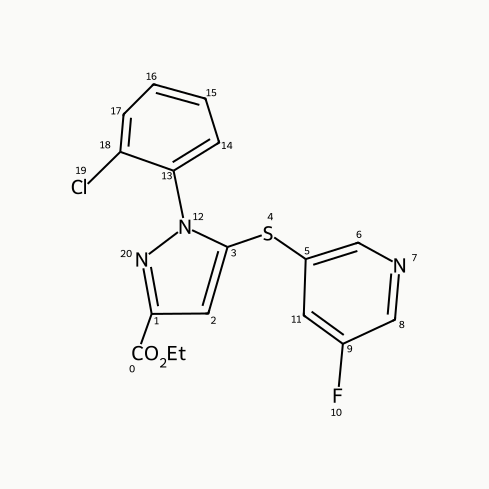 CCOC(=O)c1cc(Sc2cncc(F)c2)n(-c2ccccc2Cl)n1